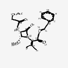 CS[C@@H]1[C@H](NC(=O)COC(C)=O)C(=O)N1C(C(=O)OCc1ccccc1)=C(C)C